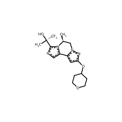 C[C@H]1Cn2nc(OC3CCOCC3)cc2-c2cnc([C@@](C)(O)C(F)(F)F)n21